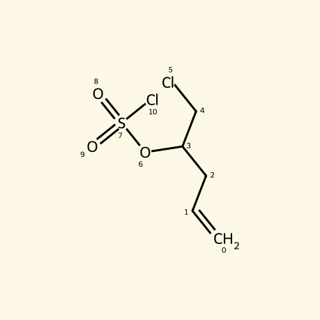 C=CCC(CCl)OS(=O)(=O)Cl